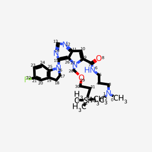 CN(C)CCCNC(=O)c1cc2ncnc(N3CCc4cc(F)ccc43)c2n1COCC[Si](C)(C)C